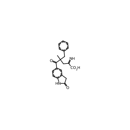 CC(CC(=N)C(=O)O)(Cc1ccccc1)C(=O)c1ccc2c(c1)CC(=O)N2